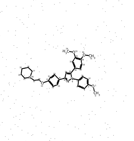 COc1ccc(-n2nc(-c3ccc(OCCN4CCCCC4)cc3)cc2-c2ccc(OC)c(OC)c2)cc1